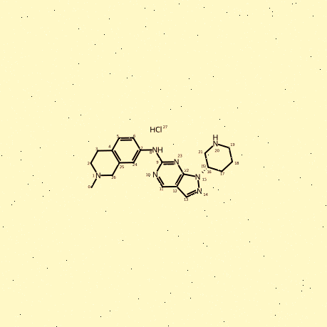 CN1CCc2ccc(Nc3ncc4cnn([C@H]5CCCNC5)c4n3)cc2C1.Cl